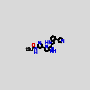 CC(C)(C)C(=O)Nc1cncc(-c2ccc3[nH]nc(-c4cc5c(-c6ccncc6)cccc5[nH]4)c3n2)c1